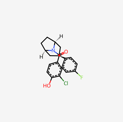 O=C(c1ccc(O)c(Cl)c1)N1[C@@H]2CC[C@H]1C[C@@H](c1ccc(F)cc1)C2